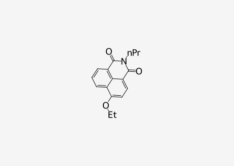 CCCN1C(=O)c2cccc3c(OCC)ccc(c23)C1=O